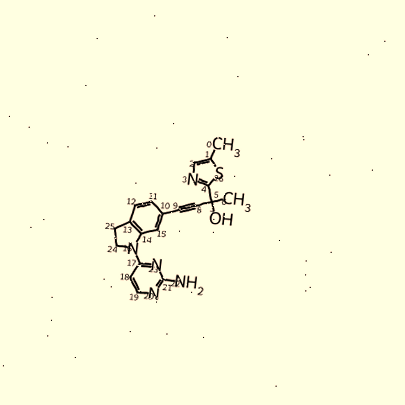 Cc1cnc(C(C)(O)C#Cc2ccc3c(c2)N(c2ccnc(N)n2)CC3)s1